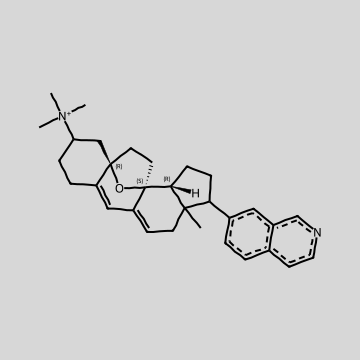 CC12CC=C3C=C4CCC([N+](C)(C)C)C[C@]45CC[C@]3(O5)[C@@H]1CCC2c1ccc2ccncc2c1